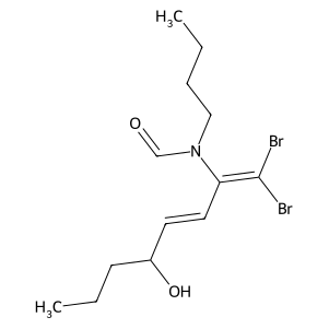 CCCCN(C=O)C(/C=C/C(O)CCC)=C(Br)Br